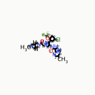 Cc1cnc2c(C(=O)Nc3cn(CC(=O)N4C[C@H]5CN(C)C[C@H]5C4)nc3-c3cc(Cl)ccc3OC(F)F)cnn2c1